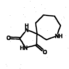 O=C1NC(=O)C2(CCCCNC2)N1